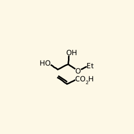 C=CC(=O)O.CCOC(O)CO